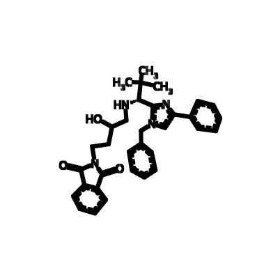 CC(C)(C)[C@@H](NCC(O)CCN1C(=O)c2ccccc2C1=O)c1nc(-c2ccccc2)cn1Cc1ccccc1